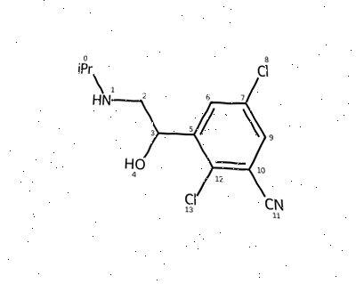 CC(C)NCC(O)c1cc(Cl)cc(C#N)c1Cl